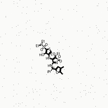 CCOC(=O)C1=C(Nc2csc(S(=O)(=O)N(CC)CC)c2O)C(N[C@@H](c2cc(C)c(C)o2)C(C)C)=NS1(=O)=O